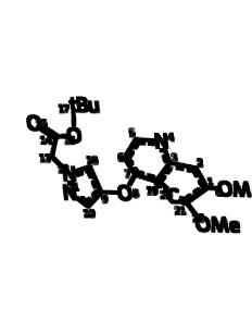 COc1cc2nccc(Oc3cnn(CC(=O)OC(C)(C)C)c3)c2cc1OC